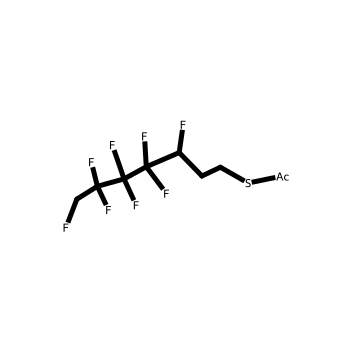 CC(=O)SCCC(F)C(F)(F)C(F)(F)C(F)(F)CF